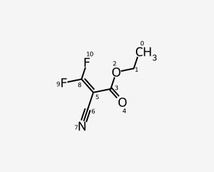 CCOC(=O)C(C#N)=C(F)F